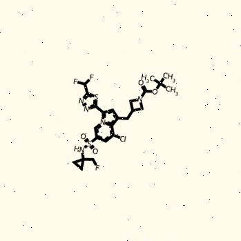 CC(C)(C)OC(=O)N1CC(Cc2cc(-c3nnc(C(F)F)s3)n3cc(S(=O)(=O)NC4(CF)CC4)cc(Cl)c23)C1